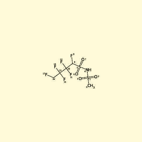 CS(=O)(=O)NS(=O)(=O)C(F)C(F)(F)C(F)(F)CF